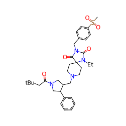 CCN1C(=O)N(Cc2ccc(S(C)(=O)=O)cc2)C(=O)C12CCN(CC1CN(C(=O)CC(C)(C)C)CC1c1ccccc1)CC2